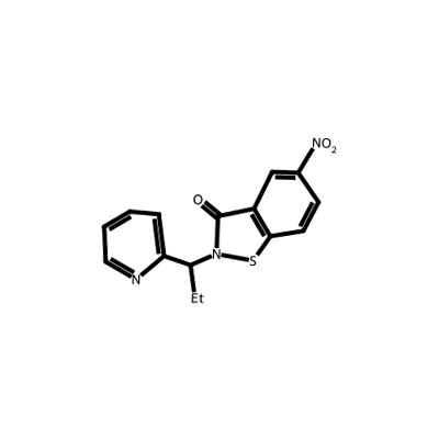 CCC(c1ccccn1)n1sc2ccc([N+](=O)[O-])cc2c1=O